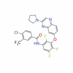 O=C(Nc1cc(F)c(F)c(Oc2ccc3ncc(N4CCCC4)nc3c2)c1F)c1ccc(Cl)c(C(F)(F)F)c1